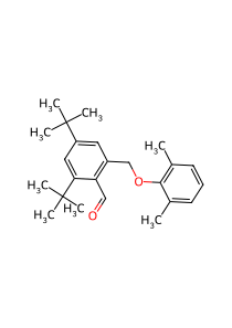 Cc1cccc(C)c1OCc1cc(C(C)(C)C)cc(C(C)(C)C)c1C=O